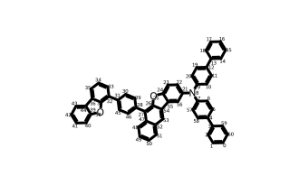 c1ccc(-c2ccc(N(c3ccc(-c4ccccc4)cc3)c3ccc4oc5c(-c6ccc(-c7cccc8c7oc7ccccc78)cc6)c6ccccc6cc5c4c3)cc2)cc1